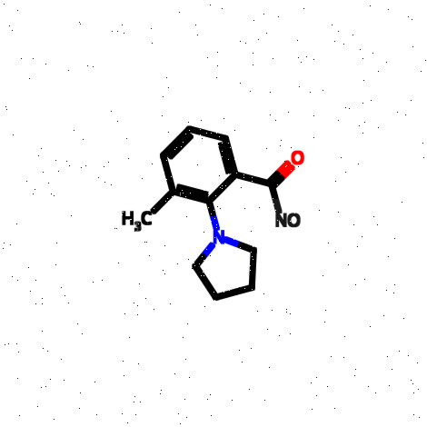 Cc1cccc(C(=O)N=O)c1N1CCCC1